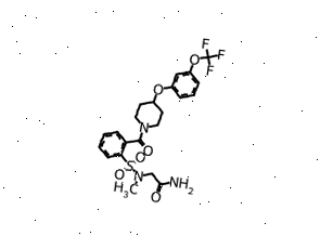 CN(CC(N)=O)S(=O)(=O)c1ccccc1C(=O)N1CCC(Oc2cccc(OC(F)(F)F)c2)CC1